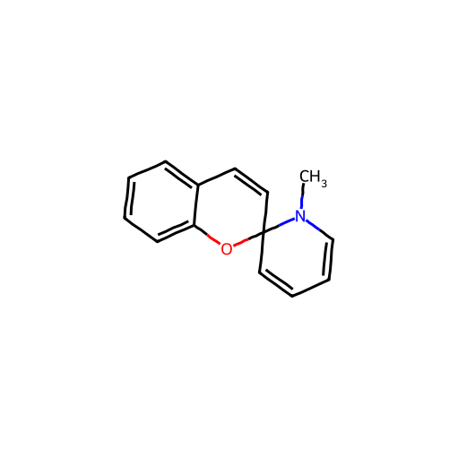 CN1C=CC=CC12C=Cc1ccccc1O2